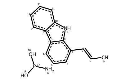 N#CC=Cc1cccc2c1[nH]c1ccccc12.NP(O)O